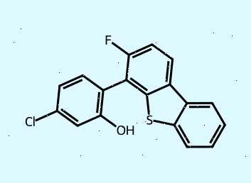 Oc1cc(Cl)ccc1-c1c(F)ccc2c1sc1ccccc12